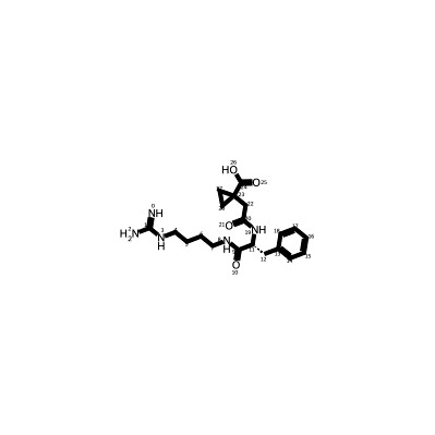 N=C(N)NCCCCNC(=O)[C@@H](Cc1ccccc1)NC(=O)CC1(C(=O)O)CC1